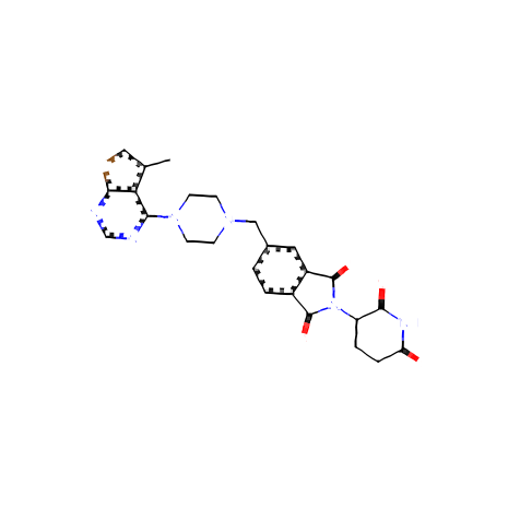 Cc1csc2ncnc(N3CCN(Cc4ccc5c(c4)C(=O)N(C4CCC(=O)NC4=O)C5=O)CC3)c12